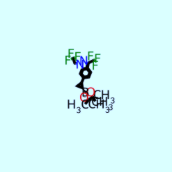 CC1(C)OB([C@H]2CC2c2ccc3c(C(F)(F)F)nn(CC(F)(F)F)c3c2)OC1(C)C